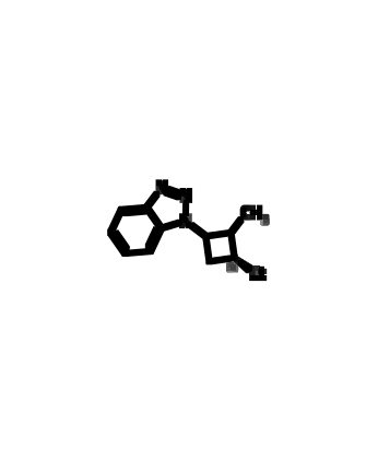 CC[C@H]1CC(n2nnc3ccccc32)C1C